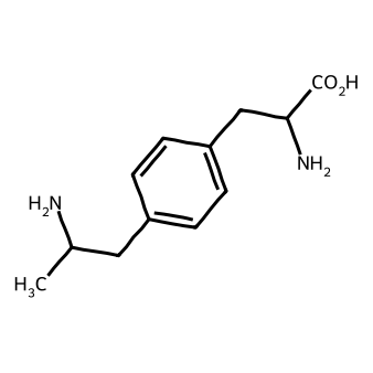 CC(N)Cc1ccc(CC(N)C(=O)O)cc1